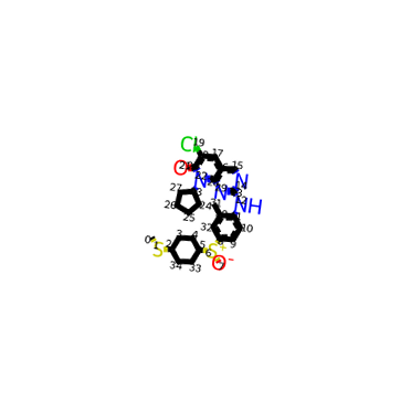 CSC1CCC([S+]([O-])c2ccc(Nc3ncc4cc(Cl)c(=O)n(C5CCCC5)c4n3)c(C)c2)CC1